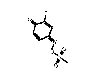 CS(=O)(=O)ON=C1C=CC(=O)C(F)=C1